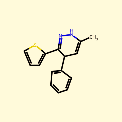 CC1=CC(c2ccccc2)C(c2cccs2)=NN1